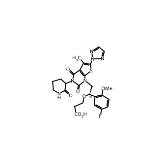 COc1ccc(F)cc1[C@H](Cn1c(=O)n(C2CCCNC2=O)c(=O)c2c(C)c(-n3nccn3)sc21)OCCC(=O)O